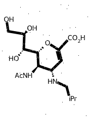 CC(=O)N[C@H]1[C@H]([C@H](O)[C@H](O)CO)OC(C(=O)O)=C[C@@H]1NCC(C)C